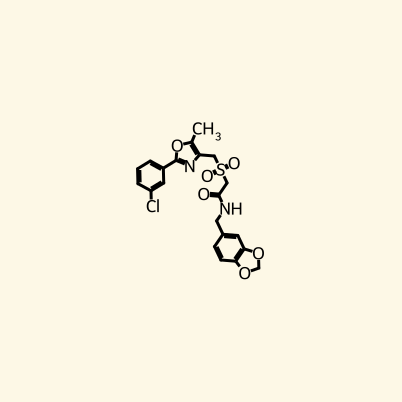 Cc1oc(-c2cccc(Cl)c2)nc1CS(=O)(=O)CC(=O)NCc1ccc2c(c1)OCO2